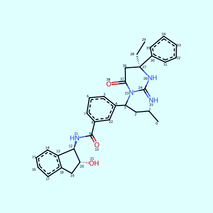 CCCC(c1cccc(C(=O)N[C@@H]2c3ccccc3C[C@H]2O)c1)N1C(=N)N[C@](CC)(c2ccccc2)CC1=O